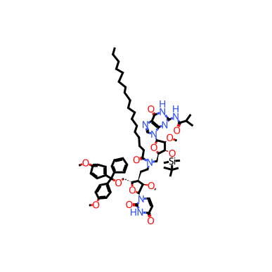 CCCCCCCCCCCCCCCCCC(=O)N(CC[C@H]1[C@@H](OC)[C@H](n2ccc(=O)[nH]c2=O)O[C@@H]1COC(c1ccccc1)(c1ccc(OC)cc1)c1ccc(OC)cc1)C[C@H]1O[C@@H](n2cnc3c(=O)[nH]c(NC(=O)C(C)C)nc32)[C@H](OC)[C@@H]1O[Si](C)(C)C(C)(C)C